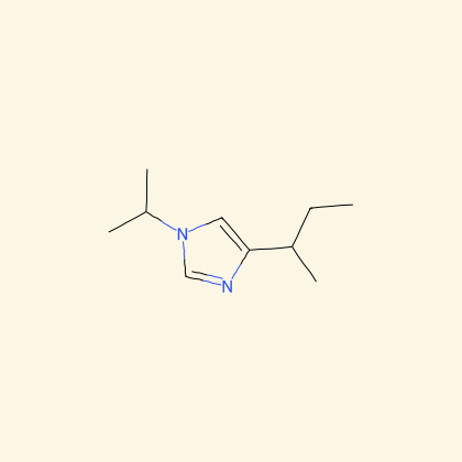 CCC(C)c1cn(C(C)C)cn1